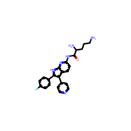 NCCCC(N)C(=O)Nc1ccc2c(-c3ccncc3)c(-c3ccc(F)cc3)[nH]c2n1